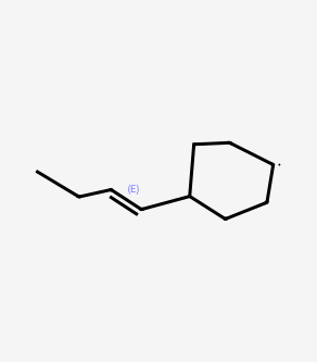 CC/C=C/C1CC[CH]CC1